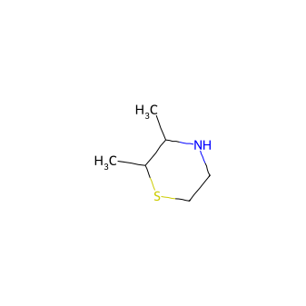 CC1NCCSC1C